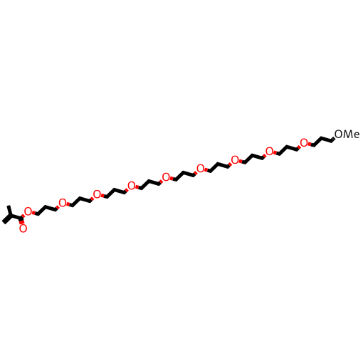 C=C(C)C(=O)OCCCOCCCOCCCOCCCOCCCOCCCOCCCOCCCOCCCOC